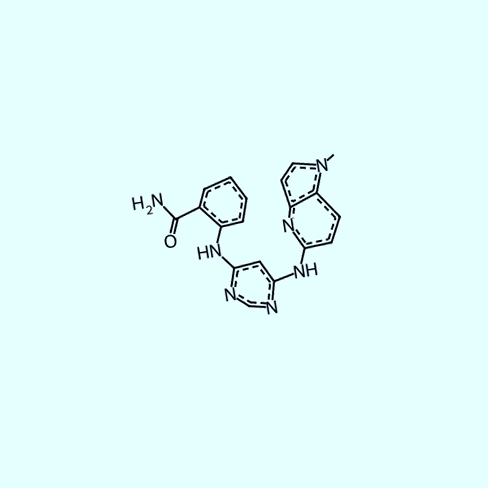 Cn1ccc2nc(Nc3cc(Nc4ccccc4C(N)=O)ncn3)ccc21